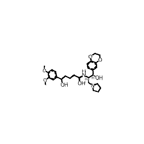 COc1ccc(C(O)CCCC(O)N[C@H](CN2CCCC2)[C@H](O)c2ccc3c(c2)OCCO3)cc1OC